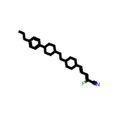 CCCc1ccc(C2CCC(CCC3CCC(C=CC=C(F)C#N)CC3)CC2)cc1